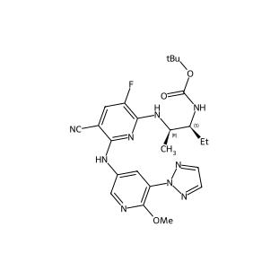 CC[C@H](NC(=O)OC(C)(C)C)[C@@H](C)Nc1nc(Nc2cnc(OC)c(-n3nccn3)c2)c(C#N)cc1F